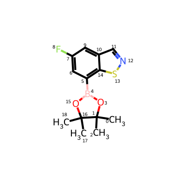 CC1(C)OB(c2cc(F)cc3cnsc23)OC1(C)C